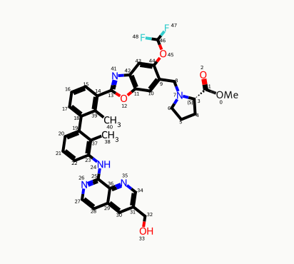 COC(=O)[C@@H]1CCCN1Cc1cc2oc(-c3cccc(-c4cccc(Nc5nccc6cc(CO)cnc56)c4C)c3C)nc2cc1OC(F)F